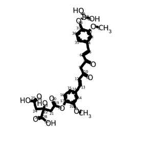 COc1cc(/C=C/C(=O)CC(=O)/C=C/c2ccc(OC(=O)CC(O)(CC(=O)O)C(=O)O)c(OC)c2)ccc1OB(O)O